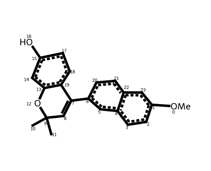 COc1ccc2cc(C3=CC(C)(C)Oc4cc(O)ccc43)ccc2c1